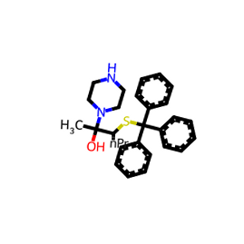 CCCC(SC(c1ccccc1)(c1ccccc1)c1ccccc1)C(C)(O)N1CCNCC1